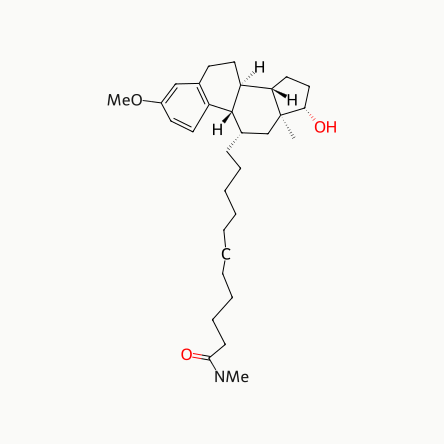 CNC(=O)CCCCCCCCCC[C@H]1C[C@]2(C)[C@@H](O)CC[C@H]2[C@@H]2CCc3cc(OC)ccc3[C@@H]12